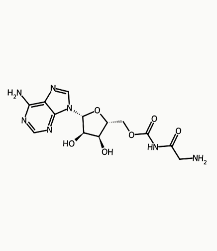 NCC(=O)NC(=O)OC[C@H]1O[C@@H](n2cnc3c(N)ncnc32)[C@H](O)[C@@H]1O